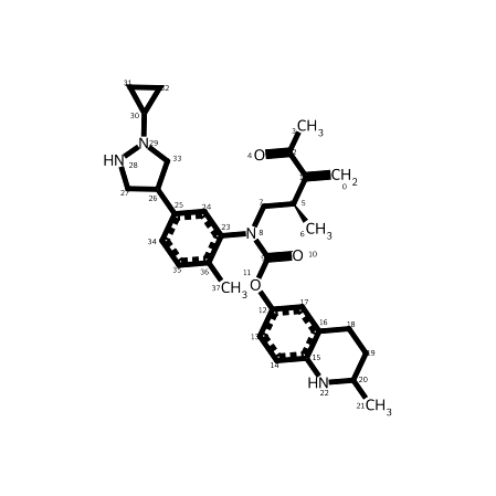 C=C(C(C)=O)[C@@H](C)CN(C(=O)Oc1ccc2c(c1)CCC(C)N2)c1cc(C2CNN(C3CC3)C2)ccc1C